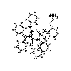 NCCc1ccccc1OP1(Oc2ccccc2)=NP(Oc2ccccc2)N(Oc2ccccc2)P(Oc2ccccc2)N1Oc1ccccc1